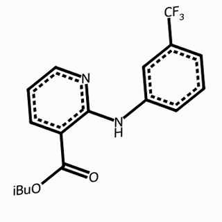 CC(C)COC(=O)c1cccnc1Nc1cccc(C(F)(F)F)c1